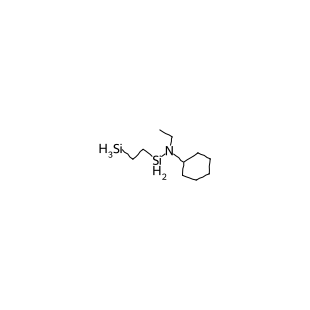 CCN([SiH2]CC[SiH3])C1CCCCC1